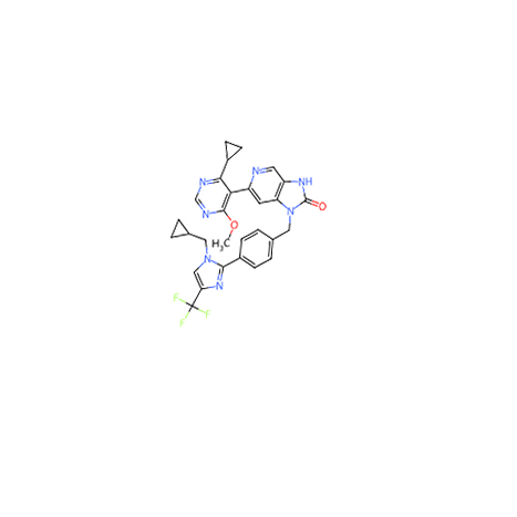 COc1ncnc(C2CC2)c1-c1cc2c(cn1)[nH]c(=O)n2Cc1ccc(-c2nc(C(F)(F)F)cn2CC2CC2)cc1